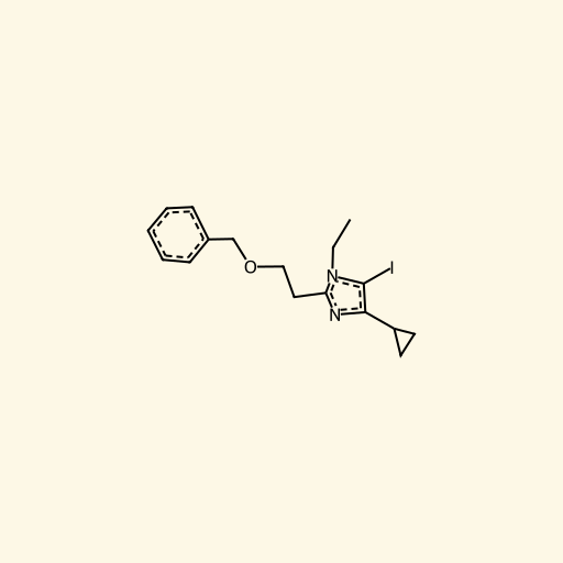 CCn1c(CCOCc2ccccc2)nc(C2CC2)c1I